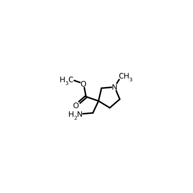 COC(=O)C1(CN)CCN(C)C1